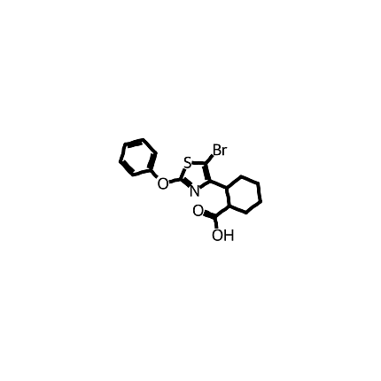 O=C(O)C1CCCCC1c1nc(Oc2ccccc2)sc1Br